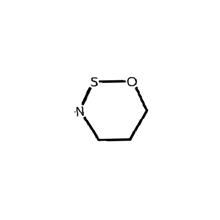 C1C[N]SOC1